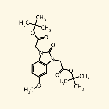 COc1ccc2c(c1)n(CC(=O)OC(C)(C)C)c(=O)n2CC(=O)OC(C)(C)C